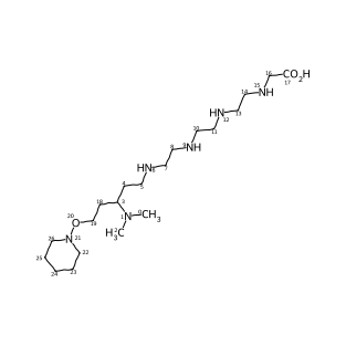 CN(C)C(CCNCCNCCNCCNCC(=O)O)CCON1CCCCC1